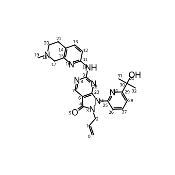 C=CCn1c(=O)c2cnc(Nc3ccc4c(n3)CN(C)CC4)nc2n1-c1cccc(C(C)(C)O)n1